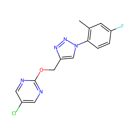 Cc1cc(F)ccc1-n1cc(COc2ncc(Cl)cn2)nn1